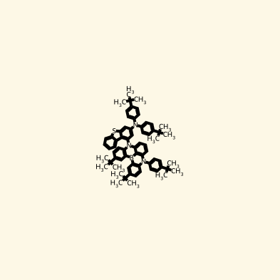 CC(C)(C)c1ccc(N(c2ccc(C(C)(C)C)cc2)c2cc(N3c4ccc(C(C)(C)C)cc4B4c5cc(C(C)(C)C)ccc5N(c5ccc(C(C)(C)C)cc5)c5cccc3c54)c3c(c2)sc2ccccc23)cc1